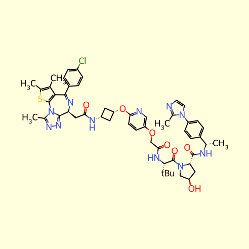 Cc1sc2c(c1C)C(c1ccc(Cl)cc1)=N[C@@H](CC(=O)N[C@H]1C[C@@H](Oc3ccc(OCC(=O)N[C@H](C(=O)N4C[C@H](O)C[C@H]4C(=O)N[C@@H](C)c4ccc(-n5ccnc5C)cc4)C(C)(C)C)cn3)C1)c1nnc(C)n1-2